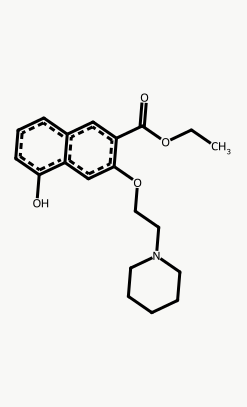 CCOC(=O)c1cc2cccc(O)c2cc1OCCN1CCCCC1